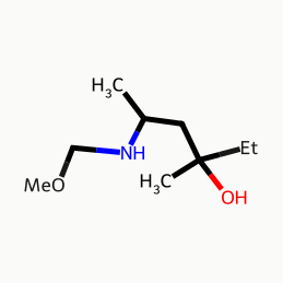 CCC(C)(O)CC(C)NCOC